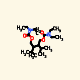 CCN(CC)C(=O)OCC(C(C)C)C(COC(=O)N(CC)CC)C(C)C